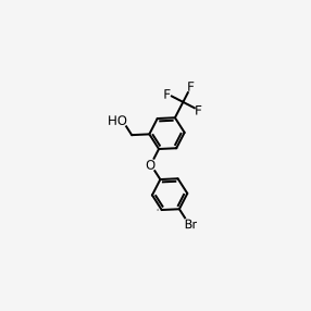 OCc1cc(C(F)(F)F)ccc1Oc1c[c]c(Br)cc1